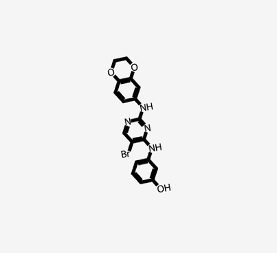 Oc1cccc(Nc2nc(Nc3ccc4c(c3)OCCO4)ncc2Br)c1